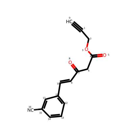 C#CCOC(=O)CC(=O)C=Cc1cccc(C#N)c1